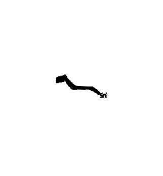 C=CC[CH2][Sn]